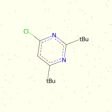 CC(C)(C)c1cc(Cl)nc(C(C)(C)C)n1